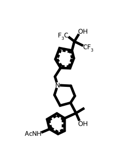 CC(=O)Nc1ccc(C(C)(O)C2CCN(Cc3ccc(C(O)(C(F)(F)F)C(F)(F)F)cc3)CC2)cc1